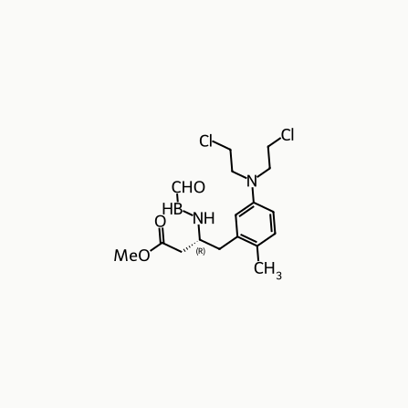 COC(=O)C[C@@H](Cc1cc(N(CCCl)CCCl)ccc1C)NBC=O